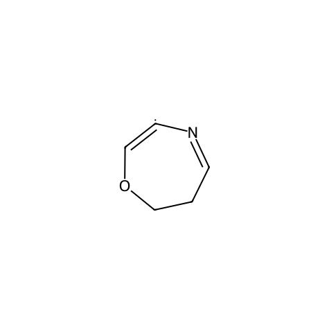 [C]1=COCCC=N1